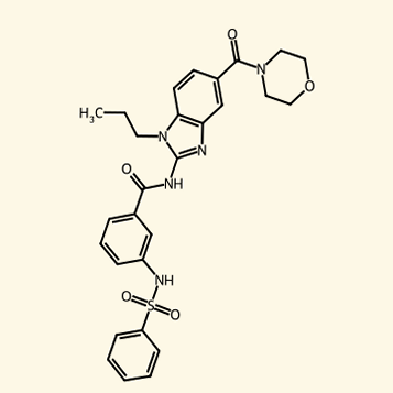 CCCn1c(NC(=O)c2cccc(NS(=O)(=O)c3ccccc3)c2)nc2cc(C(=O)N3CCOCC3)ccc21